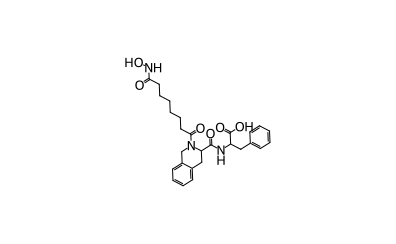 O=C(CCCCCCC(=O)N1Cc2ccccc2CC1C(=O)NC(Cc1ccccc1)C(=O)O)NO